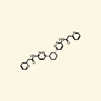 O=C(Cc1ccccn1)Nc1ccc([C@@H]2CCC[C@@H](c3ccc(NC(=O)Cc4ccccn4)nn3)C2)nn1